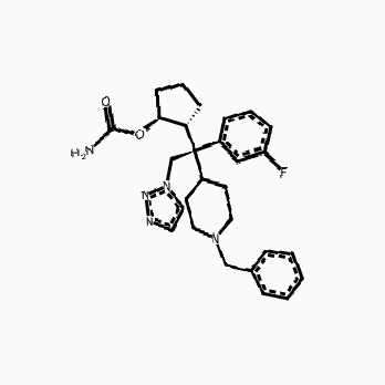 NC(=O)O[C@H]1CCC[C@@H]1[C@](Cn1ccnn1)(c1cccc(F)c1)C1CCN(Cc2ccccc2)CC1